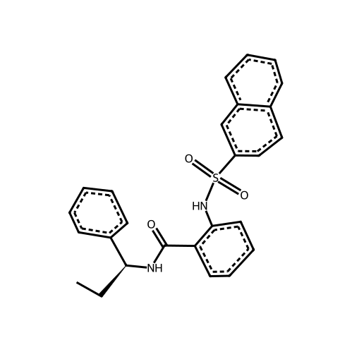 CC[C@H](NC(=O)c1ccccc1NS(=O)(=O)c1ccc2ccccc2c1)c1ccccc1